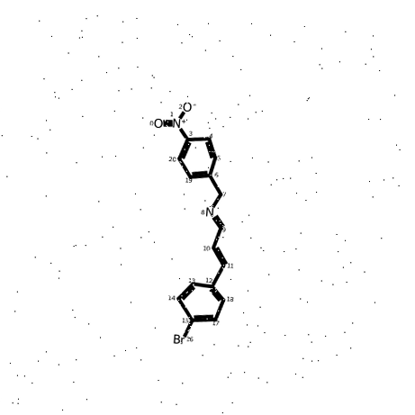 O=[N+]([O-])c1ccc(C/N=C/C=C/c2ccc(Br)cc2)cc1